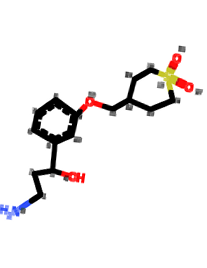 NCCC(O)c1cccc(OCC2CCS(=O)(=O)CC2)c1